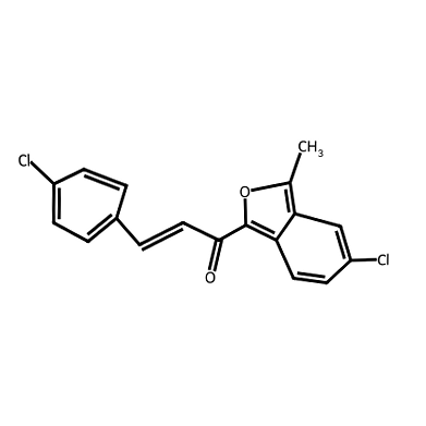 Cc1oc(C(=O)C=Cc2ccc(Cl)cc2)c2ccc(Cl)cc12